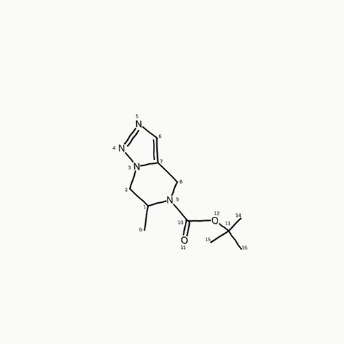 CC1Cn2nncc2CN1C(=O)OC(C)(C)C